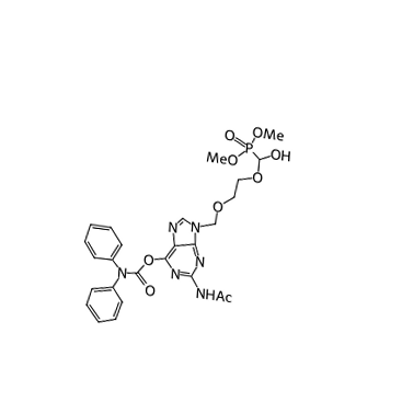 COP(=O)(OC)C(O)OCCOCn1cnc2c(OC(=O)N(c3ccccc3)c3ccccc3)nc(NC(C)=O)nc21